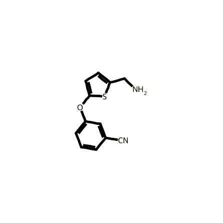 N#Cc1cccc(Oc2ccc(CN)s2)c1